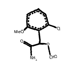 COc1cccc(Cl)c1C(OC=O)C(N)=O